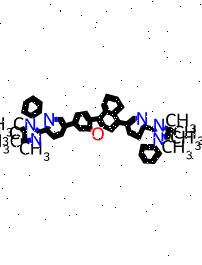 CC1(C)N=C(c2ccc(-c3ccc4c(c3)oc3cc(-c5ccc(C6=NC(C)(C)C(C)(C)N6c6ccccc6)nc5)c5ccccc5c34)cn2)N(c2ccccc2)C1(C)C